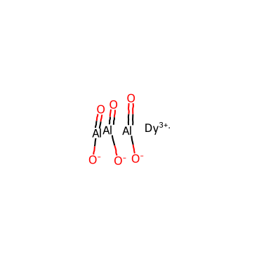 [Dy+3].[O]=[Al][O-].[O]=[Al][O-].[O]=[Al][O-]